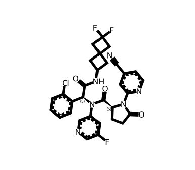 N#Cc1ccnc(N2C(=O)CC[C@H]2C(=O)N(c2cncc(F)c2)[C@H](C(=O)NC2CC3(C2)CC(F)(F)C3)c2ccccc2Cl)c1